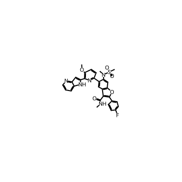 CNC(=O)c1c(-c2ccc(F)cc2)oc2cc(N(C)S(C)(=O)=O)c(-c3ccc(OC)c(-c4cc5ncccc5[nH]4)n3)cc12